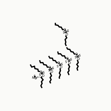 CCCCCCOP(=S)([S-])OCCCCCC.CCCCCCOP(=S)([S-])OCCCCCC.CCCCCCOP(=S)([S-])OCCCCCC.CCCCCCOP(=S)([S-])OCCCCCC.CCCCCCOP(=S)([S-])OCCCCCC.CCCCCCOP(=S)([S-])OCCCCCC.O=S.[Mo+6]